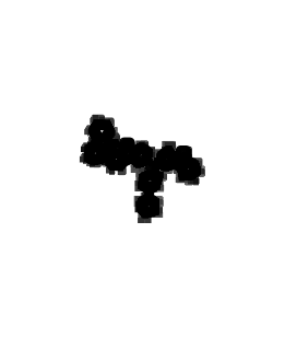 CC1(c2cccc3c2oc2ccc(N(c4ccc(-c5ccccc5)cc4)c4ccc5oc6ccccc6c5c4)cc23)c2ccccc2-c2ccccc21